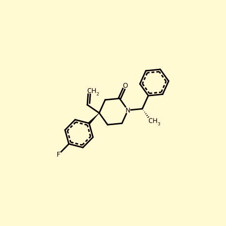 C=C[C@@]1(c2ccc(F)cc2)CCN([C@@H](C)c2ccccc2)C(=O)C1